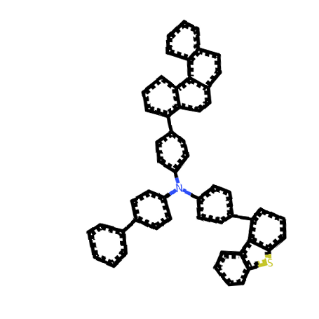 c1ccc(-c2ccc(N(c3ccc(-c4cccc5c4ccc4ccc6ccccc6c45)cc3)c3ccc(-c4cccc5sc6ccccc6c45)cc3)cc2)cc1